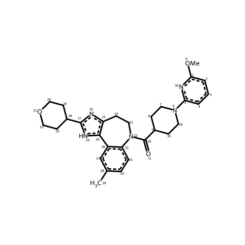 COc1cccc(N2CCC(C(=O)N3CCc4nc(C5CCOCC5)[nH]c4-c4cc(C)ccc43)CC2)n1